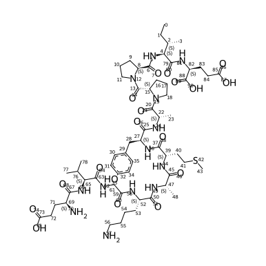 CC[C@H](C)[C@H](NC(=O)[C@@H]1CCCN1C(=O)[C@@H]1CCCN1C(=O)[C@H](C)NC(=O)[C@H](Cc1ccc(O)cc1)NC(=O)[C@H](CCSC)NC(=O)[C@H](C)NC(=O)[C@H](CCCCN)NC(=O)CNC(=O)[C@@H](NC(=O)[C@@H](N)CCC(=O)O)C(C)C)C(=O)N[C@@H](CCC(=O)O)C(=O)O